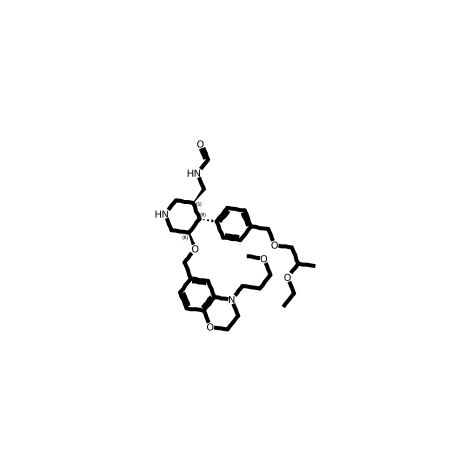 CCOC(C)COCc1ccc([C@H]2[C@H](CNC=O)CNC[C@@H]2OCc2ccc3c(c2)N(CCCOC)CCO3)cc1